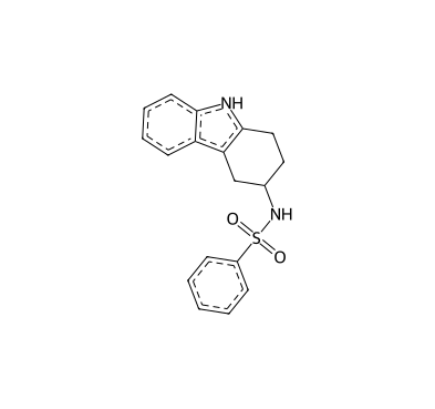 O=S(=O)(NC1CCc2[nH]c3ccccc3c2C1)c1ccccc1